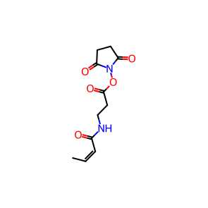 C/C=C\C(=O)NCCC(=O)ON1C(=O)CCC1=O